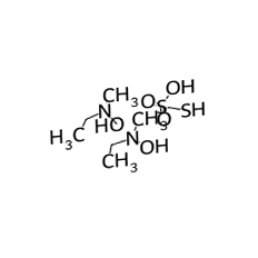 CCN(C)O.CCN(C)O.O=S(=O)(O)S